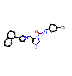 N#Cc1ccc(CNC(=O)N2CNC=C2Cn2ccc(-c3cccc4ccccc34)c2)cc1